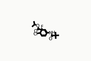 CC(C)OC(=O)C1(F)C=C(NC(=O)C(C)(C)C)C=CC1Cl